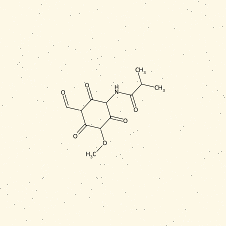 COC1C(=O)C(C=O)C(=O)C(NC(=O)C(C)C)C1=O